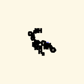 N=C1C=C(c2cc(C3CCN(C(=O)C4CNC4)C3)n3ncnc(N)c23)C=C/C1=C/NCc1ccccc1